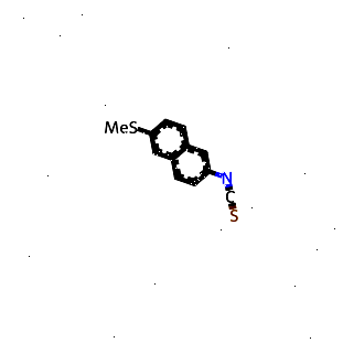 CSc1ccc2cc(N=C=S)ccc2c1